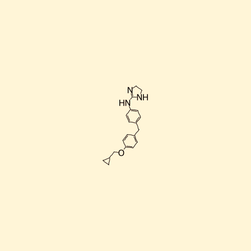 c1cc(NC2=NCCN2)ccc1Cc1ccc(OCC2CC2)cc1